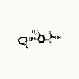 CN(C(=O)O)c1ccc(NC[C@H]2CCCCN2C)c(N)c1